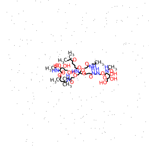 CCCNC(=O)CCOCC(COCCC(=O)NCNCOC1OC(CO)C(O)C(O)C1NC(C)=O)(COCCC(=O)NCC(C)(C)CC(C)COC1OC(CO)C(O)C(O)C1NC(C)=O)NC(=O)CCCC(=O)C(C)CC